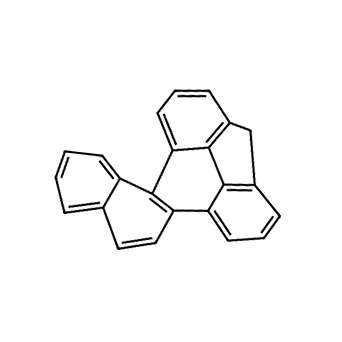 c1ccc2c(c1)ccc1c3cccc4c3c3c(cccc3c21)C4